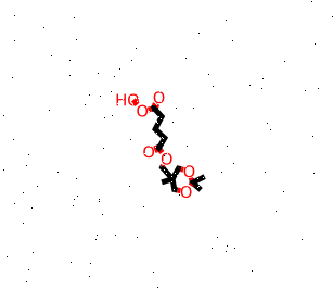 CC1(COC(=O)CCCC(=O)OO)COC(C)(C)OC1